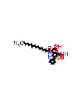 CCCCCCCCCCCCCCCC(=O)NC(CC(=O)O)c1cc(CP(=O)(O)O)cc(-c2ccccc2)c1